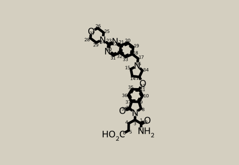 NC(=O)C(CCC(=O)O)N1Cc2cc(OC3CCN(Cc4ccc5nc(N6CCOCC6)ncc5c4)C3)ccc2C1=O